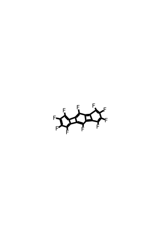 Fc1c(F)c(F)c2c(c1F)c1c(F)c3c4c(F)c(F)c(F)c(F)c4c3c(F)c21